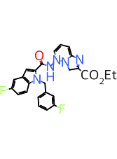 CCOC(=O)C1=NC2=CC=CN(NC(=O)c3cc4cc(F)ccc4n3Cc3cccc(F)c3)N2C1